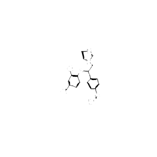 CCOc1ccc(C(Cn2ccnc2)Sc2ccc(Cl)cc2Cl)cc1